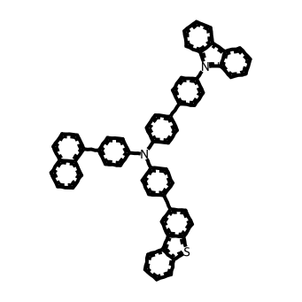 c1ccc2c(-c3ccc(N(c4ccc(-c5ccc(-n6c7ccccc7c7ccccc76)cc5)cc4)c4ccc(-c5ccc6sc7ccccc7c6c5)cc4)cc3)cccc2c1